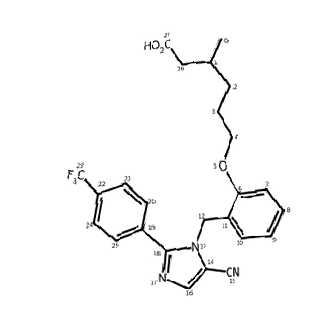 CC(CCCOc1ccccc1Cn1c(C#N)cnc1-c1ccc(C(F)(F)F)cc1)CC(=O)O